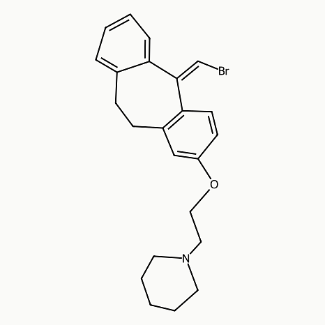 BrC=C1c2ccccc2CCc2cc(OCCN3CCCCC3)ccc21